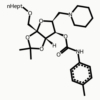 CCCCCCCOC[C@@]12O[C@@H](CN3CCCCC3)[C@@H](OC(=O)Nc3ccc(C)cc3)[C@@H]1OC(C)(C)O2